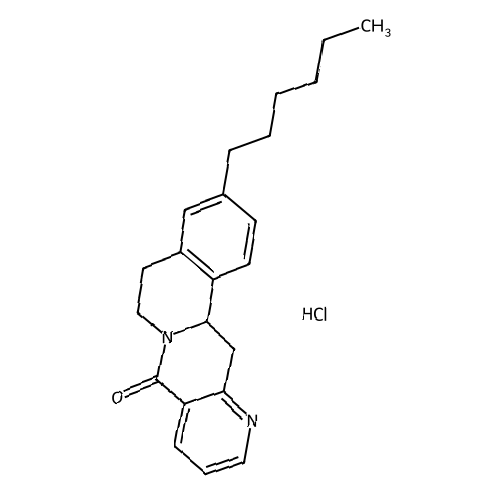 CCCCCCc1ccc2c(c1)CCN1C(=O)c3cccnc3CC21.Cl